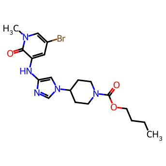 CCCCOC(=O)N1CCC(n2cnc(Nc3cc(Br)cn(C)c3=O)c2)CC1